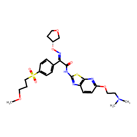 COCCCS(=O)(=O)c1ccc(/C(=N\O[C@@H]2CCOC2)C(=O)Nc2nc3ccc(OCCN(C)C)nc3s2)cc1